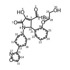 CC(C)(C)C(=O)C1=C(O)C(=O)N(c2ccc(-c3ccon3)cc2)C1c1ccccc1OCCO